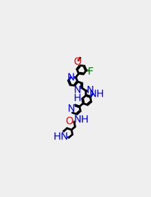 COc1cc(F)cc(-c2nccc3[nH]c(-c4n[nH]c5ccc(-c6cncc(NC(=O)CC7CCNCC7)c6)cc45)cc23)c1